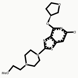 COCCN1CCN(c2nc3c(O[C@H]4CCOC4)nc(Cl)cc3s2)CC1